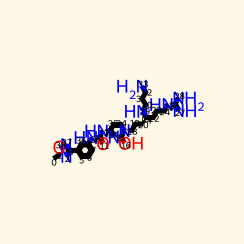 Cc1nc(-c2cccc(NC(=O)NC3=NC(O)N(CCC[C@H](CCCNC(=N)N)NCCCN)C=C3)c2)no1